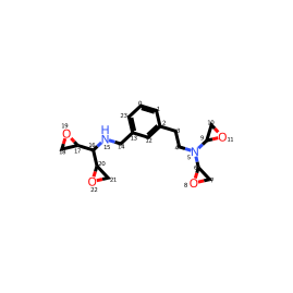 c1cc(CCN(C2CO2)C2CO2)cc(CNC(C2CO2)C2CO2)c1